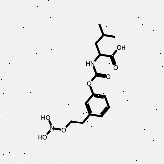 CC(C)CC(NC(=O)Oc1cccc(CCON(O)O)c1)C(=O)O